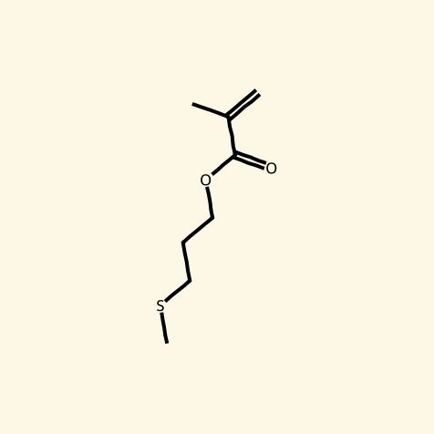 C=C(C)C(=O)OCCCSC